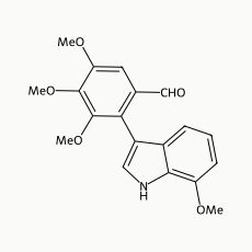 COc1cc(C=O)c(-c2c[nH]c3c(OC)cccc23)c(OC)c1OC